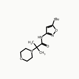 CC(C)(C)c1cc(NC(=O)C(C)(C)N2CCOCC2)no1